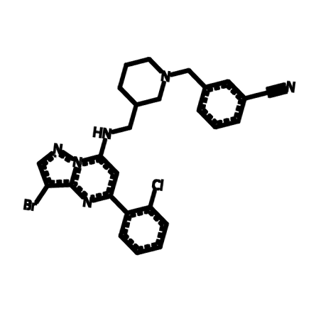 N#Cc1cccc(CN2CCCC(CNc3cc(-c4ccccc4Cl)nc4c(Br)cnn34)C2)c1